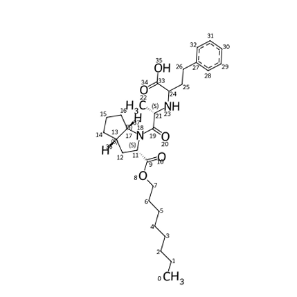 CCCCCCCCOC(=O)[C@@H]1C[C@@H]2CCC[C@@H]2N1C(=O)[C@H](C)NC(CCc1ccccc1)C(=O)O